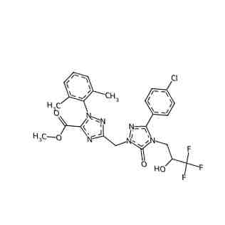 COC(=O)c1nc(Cn2nc(-c3ccc(Cl)cc3)n(CC(O)C(F)(F)F)c2=O)nn1-c1c(C)cccc1C